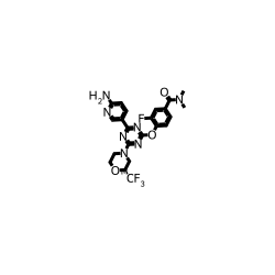 CN(C)C(=O)c1ccc(Oc2nc(-c3ccc(N)nc3)nc(N3CCO[C@@H](C(F)(F)F)C3)n2)c(F)c1